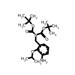 CC(C)Oc1c(N)cccc1CN(C(=O)OC(C)(C)C)C(=O)OC(C)(C)C